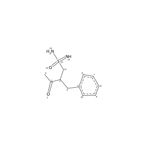 CC(=O)C(Cc1ccccc1)CS(=N)(N)=O